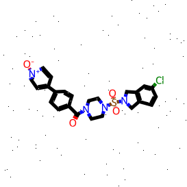 O=C(c1ccc(-c2cc[n+]([O-])cc2)cc1)N1CCN(S(=O)(=O)N2Cc3ccc(Cl)cc3C2)CC1